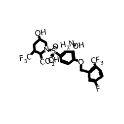 NO.O=C(O)C1C(C(F)(F)F)CC(O)CN1S(=O)(=O)c1ccc(OCc2cc(F)ccc2C(F)(F)F)cc1